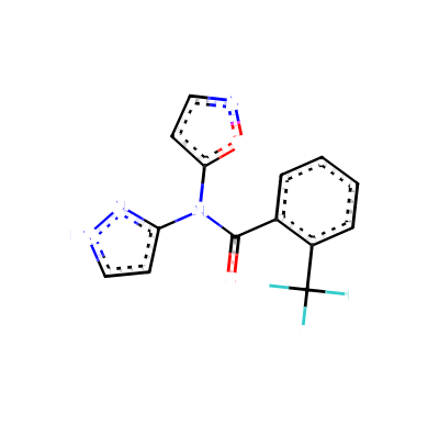 O=C(c1ccccc1C(F)(F)F)N(c1cc[nH]n1)c1ccno1